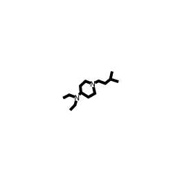 CCN(CC)C1CCN(CCC(C)C)CC1